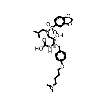 CC(C)CN(C[C@H](O)[C@H](Cc1ccc(OCCCCN(C)C)cc1)NC(=O)O)S(=O)(=O)c1ccc2c(c1)OCO2